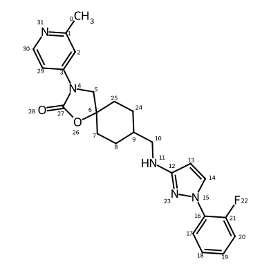 Cc1cc(N2CC3(CCC(CNc4ccn(-c5ccccc5F)n4)CC3)OC2=O)ccn1